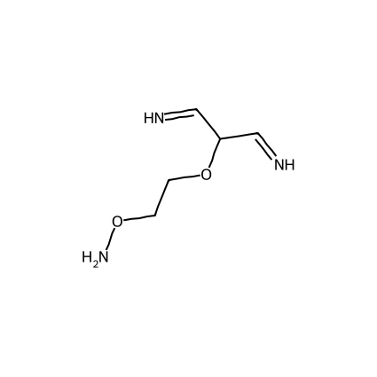 N=CC(C=N)OCCON